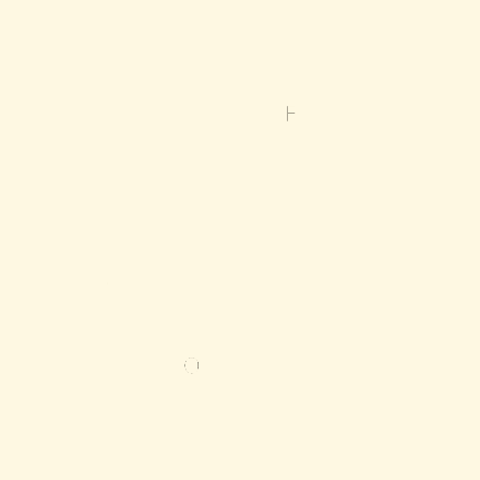 Cc1ccc2c(c1CF)CCCO2